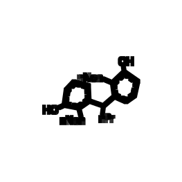 CCCCCCCCCc1c(O)cccc1C(CCC)c1cccc(O)c1CCCCCCCCC